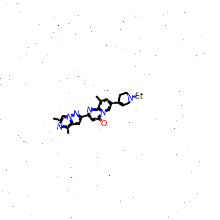 CCN1CC=C(c2cc(C)c3nc(-c4cc5c(C)nc(C)cn5n4)cc(=O)n3c2)CC1